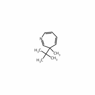 CC(C)(C)C1(C)C=CC=CN=C1